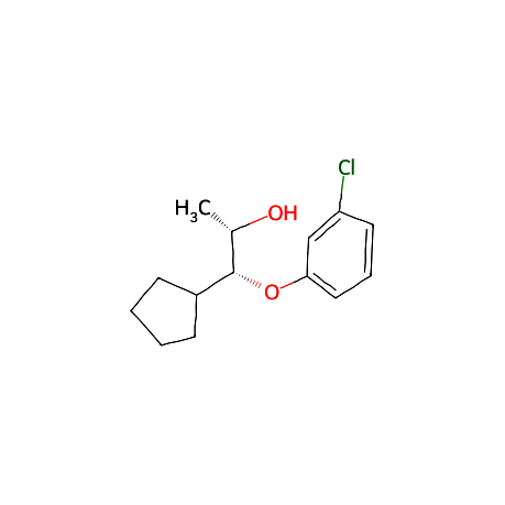 C[C@H](O)[C@H](Oc1cccc(Cl)c1)C1CCCC1